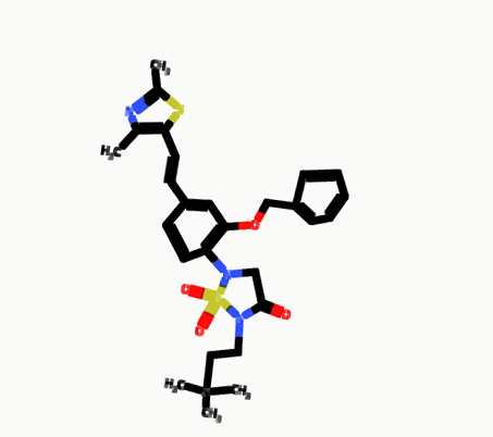 Cc1nc(C)c(C=Cc2ccc(N3CC(=O)N(CC[Si](C)(C)C)S3(=O)=O)c(OCc3ccccc3)c2)s1